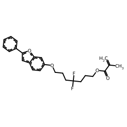 C=C(C)C(=O)OCCCC(F)(F)CCCOc1ccc2cc(-c3ccccc3)oc2c1